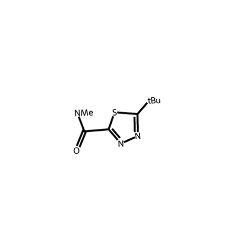 CNC(=O)c1nnc(C(C)(C)C)s1